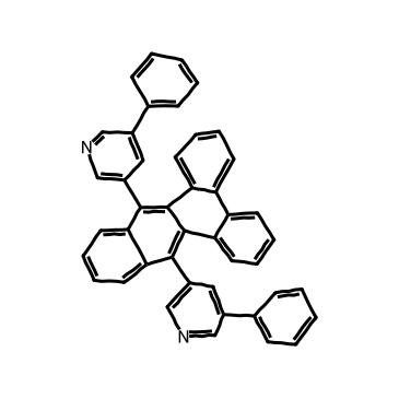 c1ccc(-c2cncc(-c3c4ccccc4c(-c4cncc(-c5ccccc5)c4)c4c5ccccc5c5ccccc5c34)c2)cc1